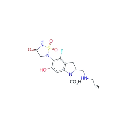 CC(C)CNC[C@H]1Cc2c(cc(O)c(N3CC(=O)NS3(=O)=O)c2F)N1C(=O)O